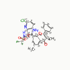 Cc1cc([C@@H](C)Nc2ccc(Cl)nc2C(=O)NS(=O)(=O)C(F)F)c2oc(-c3ccccc3)c(C)c(=O)c2c1